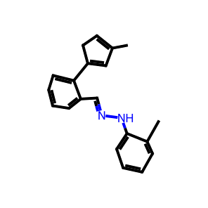 CC1=CCC(c2ccccc2C=NNc2ccccc2C)=C1